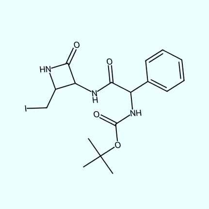 CC(C)(C)OC(=O)NC(C(=O)NC1C(=O)NC1CI)c1ccccc1